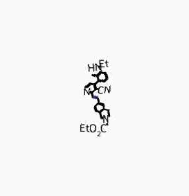 CCNc1cccc(-c2ccnc(/C=C/c3ccc4c(c3)CCN(CC(=O)OCC)C4)c2C#N)c1C